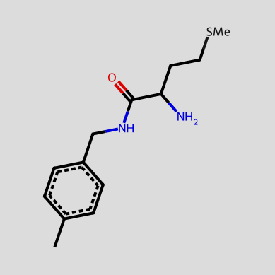 CSCCC(N)C(=O)NCc1ccc(C)cc1